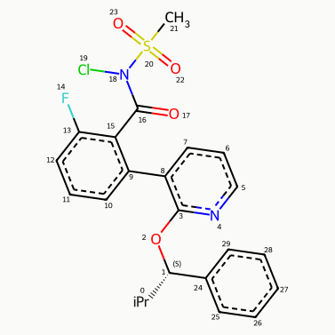 CC(C)[C@H](Oc1ncccc1-c1cccc(F)c1C(=O)N(Cl)S(C)(=O)=O)c1ccccc1